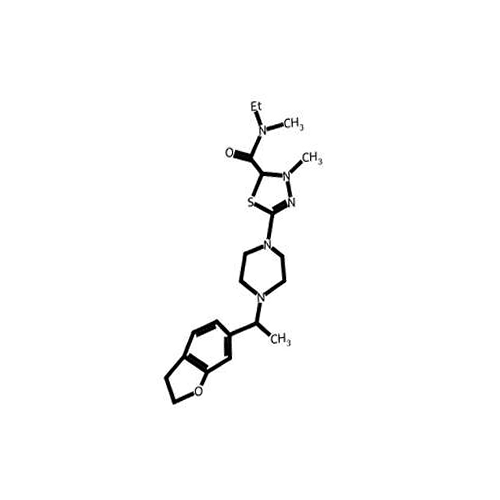 CCN(C)C(=O)C1SC(N2CCN(C(C)c3ccc4c(c3)OCC4)CC2)=NN1C